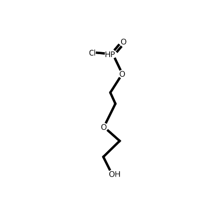 O=[PH](Cl)OCCOCCO